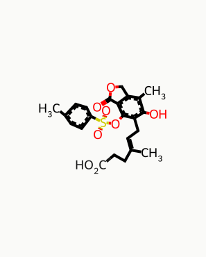 C/C(=C\Cc1c(O)c(C)c2c(c1OS(=O)(=O)c1ccc(C)cc1)C(=O)OC2)CCC(=O)O